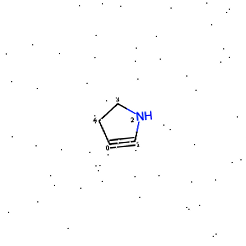 C1#CNCC1